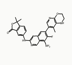 Cc1c(-c2cc3cc(Nc4ccc5c(c4)C(=O)OC5(C)C)ncc3c(N)c2F)cnc2c1NCCO2